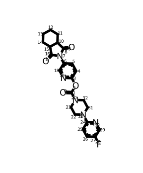 O=C(Oc1ccc(N2C(=O)C3CCCCC3C2=O)cn1)N1CCN(c2ccc(F)cn2)CC1